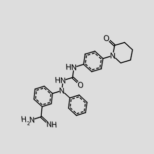 N=C(N)c1cccc(N(NC(=O)Nc2ccc(N3CCCCC3=O)cc2)c2ccccc2)c1